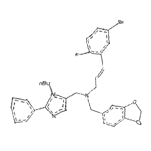 CCCCn1c(CN(CC=Cc2cc(Br)ccc2F)Cc2ccc3c(c2)OCO3)cnc1-c1ccccc1